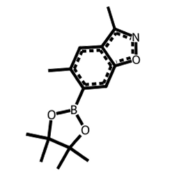 Cc1cc2c(C)noc2cc1B1OC(C)(C)C(C)(C)O1